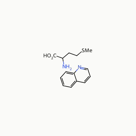 CSCCC(N)C(=O)O.c1ccc2ncccc2c1